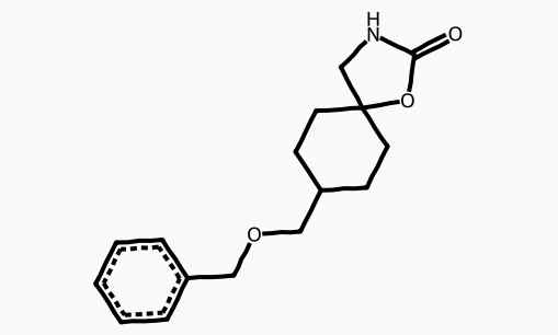 O=C1NCC2(CCC(COCc3ccccc3)CC2)O1